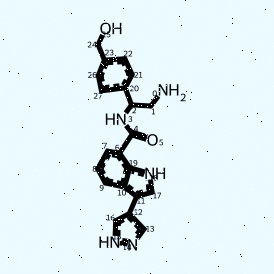 NCC(NC(=O)c1cccc2c(-c3cn[nH]c3)c[nH]c12)c1ccc(CO)cc1